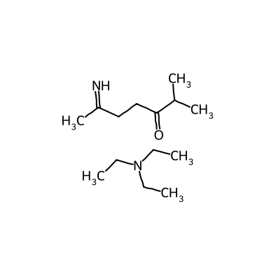 CC(=N)CCC(=O)C(C)C.CCN(CC)CC